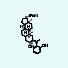 CCCC(C)[C@H]1CC[C@H]2[C@@H]3CCC4C[C@@H](O)[C@H](N(C)c5ccccc5O)C[C@]4(C)[C@H]3CC[C@]12C